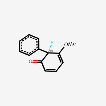 COC1=CC=CC(=O)[C@@]1(F)c1ccccc1